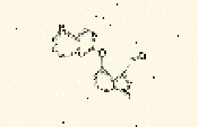 Cn1cc(C=O)c2c(Oc3ccc4ncccc4c3)cccc21